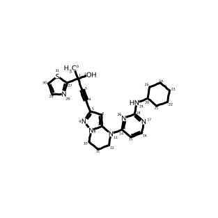 CC(O)(C#Cc1cc2n(n1)CCCN2c1ccnc(NC2CCCCC2)n1)c1nccs1